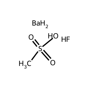 CS(=O)(=O)O.F.[BaH2]